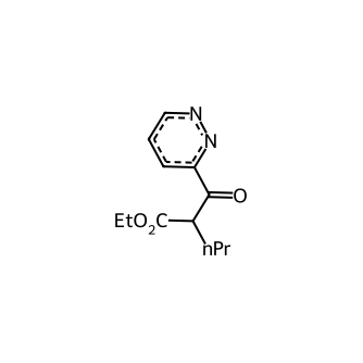 CCCC(C(=O)OCC)C(=O)c1cccnn1